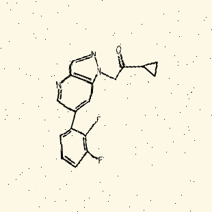 O=C(Cn1ncc2ncc(-c3cccc(F)c3F)cc21)C1CC1